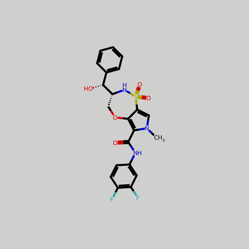 Cn1cc2c(c1C(=O)Nc1ccc(F)c(F)c1)OC[C@H]([C@H](O)c1ccccc1)NS2(=O)=O